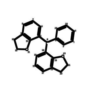 c1ccc(P(c2cccc3c2OCC3)c2cccc3c2OCC3)cc1